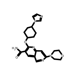 NC(=O)c1cc2cnc(N3CCOCC3)cc2nc1OC1CCC(n2ccnc2)CC1